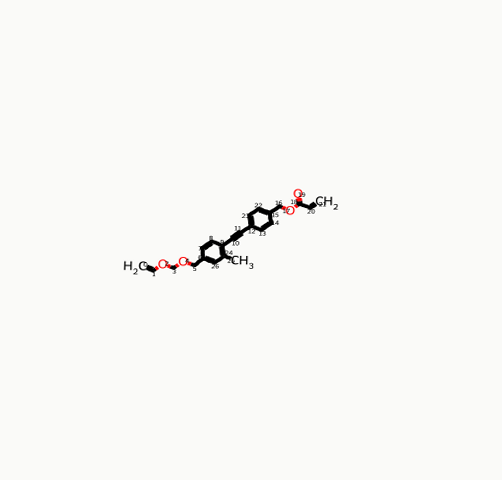 C=COCOCc1ccc(C#Cc2ccc(COC(=O)C=C)cc2)c(C)c1